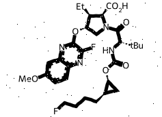 CC[C@@H]1[C@@H](Oc2nc3cc(OC)ccc3nc2F)CN(C(=O)[C@@H](NC(=O)O[C@@H]2C[C@H]2CCCCF)C(C)(C)C)[C@@H]1C(=O)O